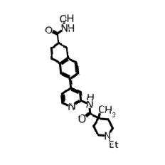 CCN1CCC(C)(C(=O)Nc2cc(-c3ccc4c(c3)CCC(C(=O)NO)C4)ccn2)CC1